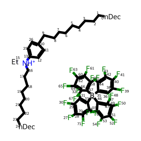 CCCCCCCCCCCCCCCCCCCc1ccc([NH+](CC)CCCCCCCCCCCCCCCCCC)cc1.Fc1c(F)c(F)c([B-](c2c(F)c(F)c(F)c(F)c2F)(c2c(F)c(F)c(F)c(F)c2F)c2c(F)c(F)c(F)c(F)c2F)c(F)c1F